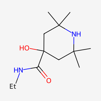 CCNC(=O)C1(O)CC(C)(C)NC(C)(C)C1